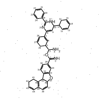 N=C(OC(N)C1C=C(C2=CC(C3C=CC=CC3)NC(c3ccccc3)=N2)C=CC1)c1ccc2c(c1)OC1C=CC3=C(CCC=C3)C21